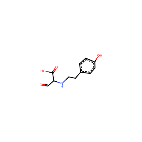 O=CC(NCCc1ccc(O)cc1)C(=O)O